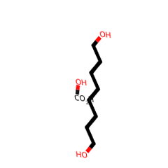 O=C(O)O.OCCCCCCCCO